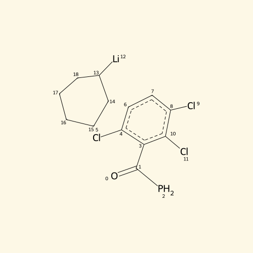 O=C(P)c1c(Cl)ccc(Cl)c1Cl.[Li][CH]1CCCCC1